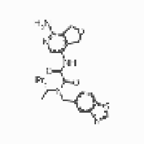 CC(C)[C@@H](C)N(Cc1ccc2scnc2c1)C(=O)C(=O)Nc1cnc(N)c2c1COC2